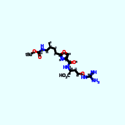 C[C@@H](CCc1nc(C(=O)N[C@@H](CCONC(=N)N)C(=O)O)co1)CNC(=O)OC(C)(C)C